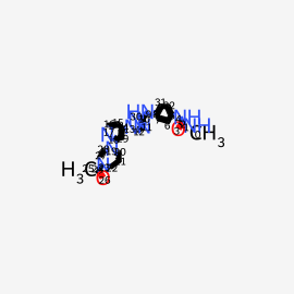 CNC(=O)Nc1ccc(Nc2ncn(-c3ccnc(N4CCCN(C(C)=O)CC4)c3)n2)cc1